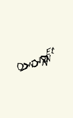 CCc1cn(C2CCN(C3CCOC3)CC2)nn1